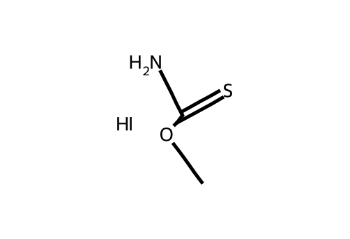 COC(N)=S.I